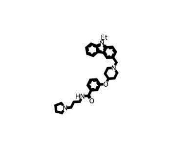 CCn1c2ccccc2c2cc(CN3CCC(Oc4cccc(C(=O)NCCCN5CCCC5)c4)CC3)ccc21